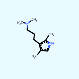 Cc1c[nH]c(C)c1CCCN(C)C